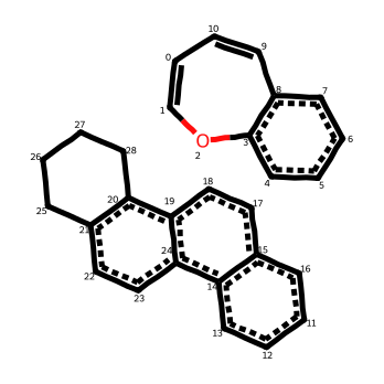 C1=COc2ccccc2C=C1.c1ccc2c(c1)ccc1c3c(ccc12)CCCC3